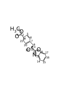 COC(=O)c1ccc(C[S+]([O-])c2nc3ccccc3o2)cc1